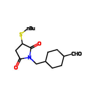 CCCCSC1CC(=O)N(CC2CCC(C=O)CC2)C1=O